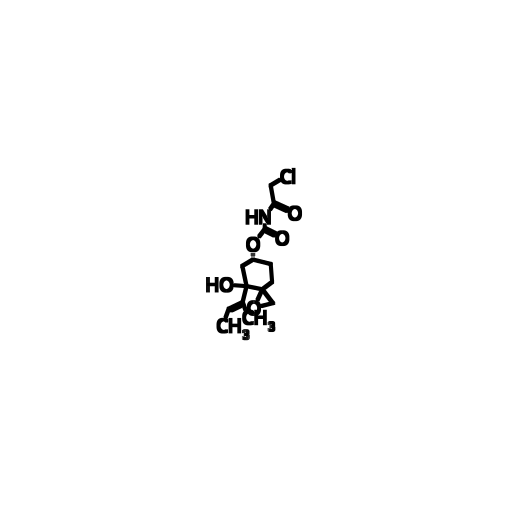 CC=C(C)C1(O)C[C@H](OC(=O)NC(=O)CCl)CCC12CO2